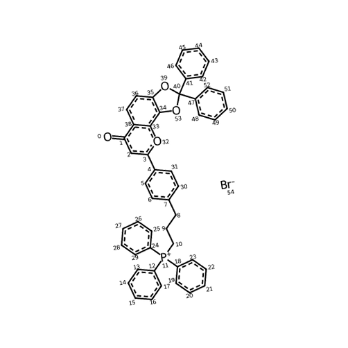 O=c1cc(-c2ccc(CCC[P+](c3ccccc3)(c3ccccc3)c3ccccc3)cc2)oc2c3c(ccc12)OC(c1ccccc1)(c1ccccc1)O3.[Br-]